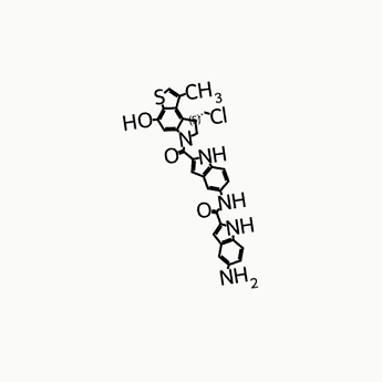 Cc1csc2c(O)cc3c(c12)[C@H](CCl)CN3C(=O)c1cc2cc(NC(=O)c3cc4cc(N)ccc4[nH]3)ccc2[nH]1